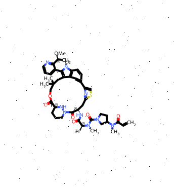 C=CC(=O)N(C)C1CCN(C(=O)N(C)[C@H](C(=O)N[C@H]2Cc3nc(cs3)-c3ccc4c(c3)c(c(-c3cccnc3[C@H](C)OC)n4CC)CC(C)(C)COC(=O)[C@@H]3CCCN(N3)C2=O)C(C)C)C1